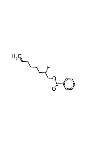 C=CCCCCC(F)COS(=O)c1ccccc1